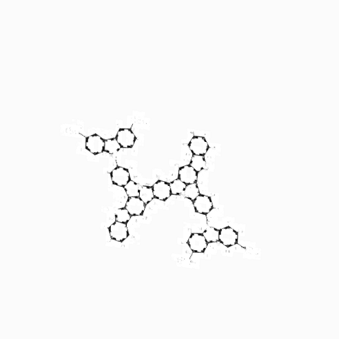 CC(C)(C)c1ccc2c(c1)c1cc(C(C)(C)C)ccc1n2-c1ccc2c3c4sc5ccccc5c4cc4c5cc6c(cc5n(c2c1)c43)c1cc2c3ccccc3sc2c2c3ccc(-n4c5ccc(C(C)(C)C)cc5c5cc(C(C)(C)C)ccc54)cc3n6c12